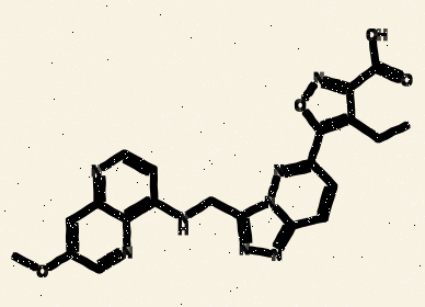 CCc1c(C(=O)O)noc1-c1ccc2nnc(CNc3ccnc4cc(OC)cnc34)n2n1